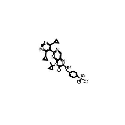 CCS(=O)(=O)c1ccc(CNc2nc3cnc(-c4c(C5CC5)ncnc4C4CC4)nc3n(C3(C)CC3)c2=O)cc1